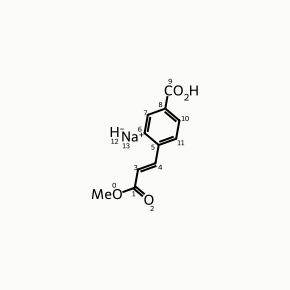 COC(=O)C=Cc1ccc(C(=O)O)cc1.[H-].[Na+]